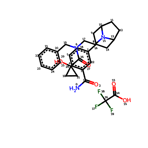 NC(=O)c1cccc(C2CC3CCC(C2)N3CCN(Cc2ccccc2)C(=O)C2(O)CC2)c1.O=C(O)C(F)(F)F